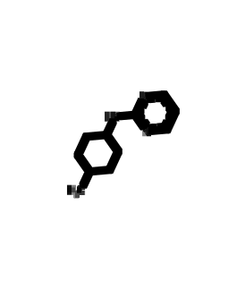 CC1CCC(Nc2ncccn2)CC1